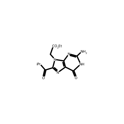 CCOC(=O)Cn1c(C(=O)C(C)C)nc2c(=O)[nH]c(N)nc21